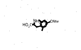 COc1cc(C)c(CC(N)C(=O)O)c(C)c1